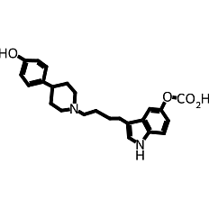 O=C(O)Oc1ccc2[nH]cc(CCCCN3CCC(c4ccc(O)cc4)CC3)c2c1